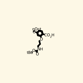 CCCCCCCCOc1ccc(C(=O)O)c(OCCCNC(=O)OC(C)(C)C)c1